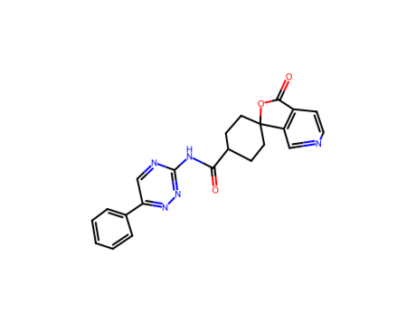 O=C1OC2(CCC(C(=O)Nc3ncc(-c4ccccc4)nn3)CC2)c2cnccc21